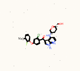 COc1cccc(Oc2ccc(C(=O)c3c[nH]c4nccc(N[C@@H]5CC[C@@H](CO)OC5)c34)c(Cl)c2)c1F